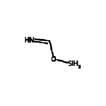 N=CO[SiH3]